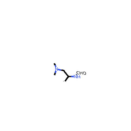 [CH2]C(CN(C)C)NC=O